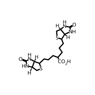 O=C1N[C@H]2CSC(CCCC(CCCC3SC[C@@H]4NC(=O)N[C@H]34)C(=O)O)[C@H]2N1